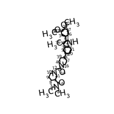 CCN(CC)C(=O)C1CCCN(CC(=O)N2CCC(c3ccc4[nH]c(-c5ccc(OC)c(OC)c5)c(C)c4c3)CC2)C1